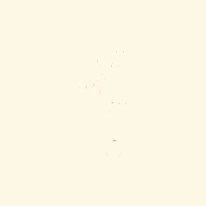 CS(=O)(=O)OCCC(OS(C)(=O)=O)C(=O)OCCc1ccccc1